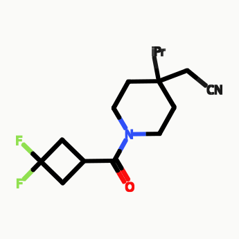 CC(C)C1(CC#N)CCN(C(=O)C2CC(F)(F)C2)CC1